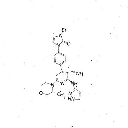 CCn1ccn(-c2ccc(-c3cc(N4CCOC[C@H]4C)nc(Nc4cc[nH]n4)c3C=N)cc2)c1=O